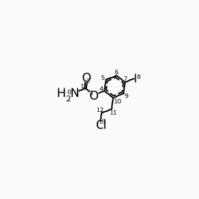 NC(=O)Oc1ccc(I)cc1CCCl